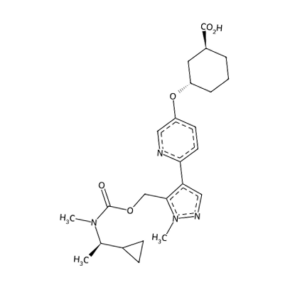 C[C@H](C1CC1)N(C)C(=O)OCc1c(-c2ccc(O[C@H]3CCC[C@H](C(=O)O)C3)cn2)cnn1C